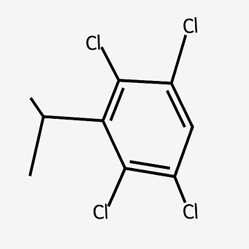 CC(C)c1c(Cl)c(Cl)cc(Cl)c1Cl